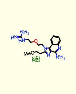 COCCc1nc2c(N)nc3ccccc3c2n1CCOCCNC(=N)N.Cl.Cl